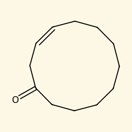 O=C1CC=CCCCCCCCC1